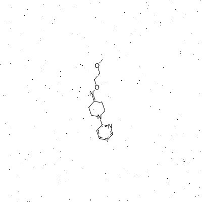 COCCON=C1CCN(c2cc[c]cn2)CC1